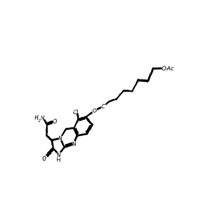 CC(=O)OCCCCCCCCOc1ccc2c(c1Cl)CN1C(=N2)NC(=O)C1CC(N)=O